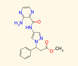 COC(=O)CC(c1ccccc1)n1cc(NC(=O)c2nccnc2N)cn1